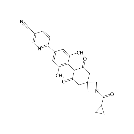 Cc1cc(-c2ccc(C#N)cn2)cc(C)c1C1C(=O)CC2(CC1=O)CN(C(=O)C1CC1)C2